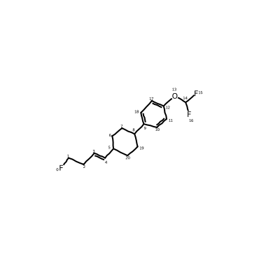 FCC/C=C/C1CCC(c2ccc(OC(F)F)cc2)CC1